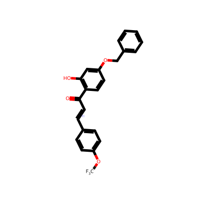 O=C(/C=C/c1ccc(OC(F)(F)F)cc1)c1ccc(OCc2ccccc2)cc1O